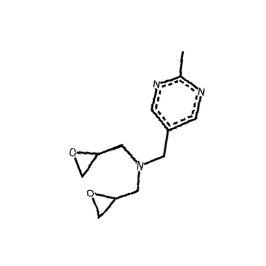 Cc1ncc(CN(CC2CO2)CC2CO2)cn1